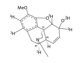 [2H]OC1([2H])C=C[C@H]2[C@@]3([2H])Cc4c([2H])c([2H])c(OC)c5c4[C@@]2(CCN3C)C1([2H])O5